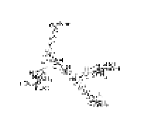 CCCCCCCCCC(=O)OCCCCCCCN(CCCCCCC(C)(C)C(=O)OC(CCCCCCCC)CCCCCCCC)CCNC(=O)CCC(=O)NCCN(CCCCCCCOC(=O)C(C)(C)CCCCCCCC)CCCCCCC(C)(C)C(=O)OC(CCCCCCCC)CCCCCCCC